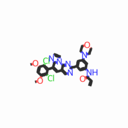 C=CC(=O)Nc1cc(-c2ncc3cc(-c4c(Cl)c(OC)cc(OC)c4Cl)c4nccn4c3n2)cc(N2CCOCC2)c1